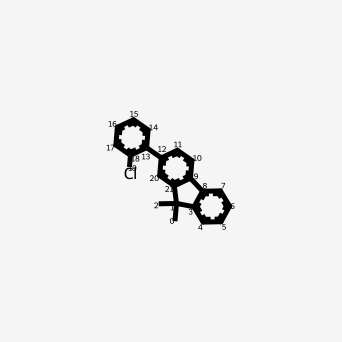 CC1(C)c2ccccc2-c2ccc(-c3ccccc3Cl)cc21